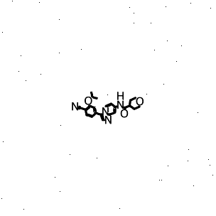 CC(C)Oc1cc(-c2cnc3cc(NC(=O)C4CCOCC4)ccn23)ccc1C#N